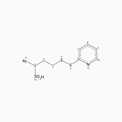 CC(=O)C(CCSSc1ccccn1)S(=O)(=O)O